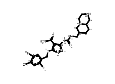 NC(=O)c1c(OCc2cc(F)c(Cl)cc2F)nsc1NC(=O)NCC1CCC2CNCCN2C1